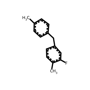 Cc1ccc(Cc2ccc(C)c(F)c2)cc1